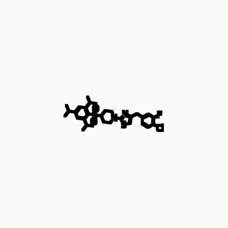 CC(C)c1cc(C(C)C)c(S(=O)(=O)C2CCN(c3nc(Cc4ccc(Cl)c(F)c4)cs3)CC2)c(C(C)C)c1